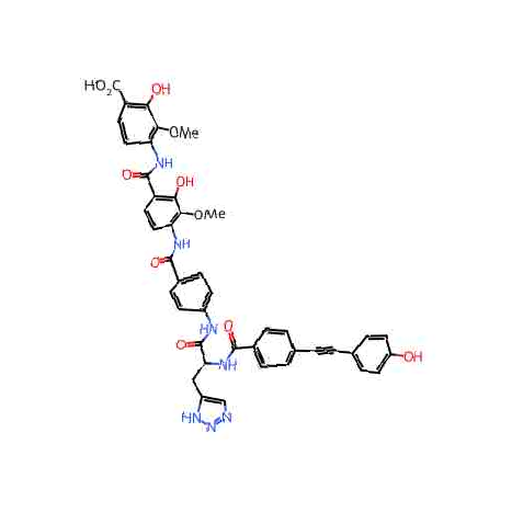 COc1c(NC(=O)c2ccc(NC(=O)c3ccc(NC(=O)[C@H](Cc4cnn[nH]4)NC(=O)c4ccc(C#Cc5ccc(O)cc5)cc4)cc3)c(OC)c2O)ccc(C(=O)O)c1O